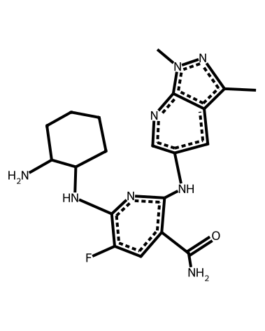 Cc1nn(C)c2ncc(Nc3nc(NC4CCCCC4N)c(F)cc3C(N)=O)cc12